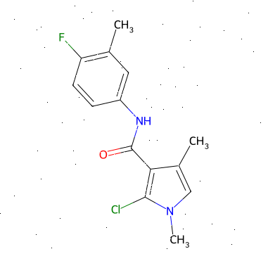 Cc1cc(NC(=O)c2c(C)cn(C)c2Cl)ccc1F